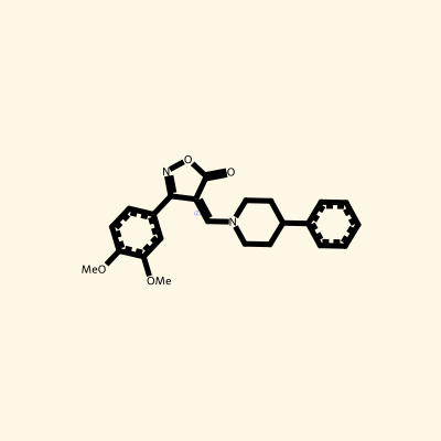 COc1ccc(C2=NOC(=O)/C2=C\N2CCC(c3ccccc3)CC2)cc1OC